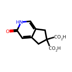 O=C(O)C1(C(=O)O)Cc2c[nH]c(=O)cc2C1